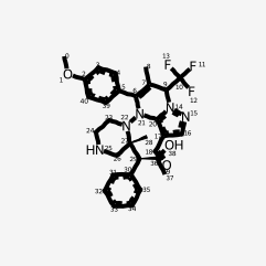 COc1ccc(C2=C(C)C(C(F)(F)F)n3ncc(C=O)c3N2N2CCNC[C@@]2(C)[C@H](c2ccccc2)C(C)O)cc1